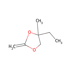 C=C1OCC(C)(CC)O1